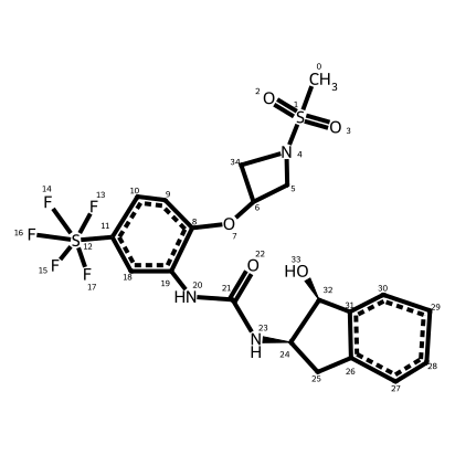 CS(=O)(=O)N1CC(Oc2ccc(S(F)(F)(F)(F)F)cc2NC(=O)N[C@@H]2Cc3ccccc3[C@@H]2O)C1